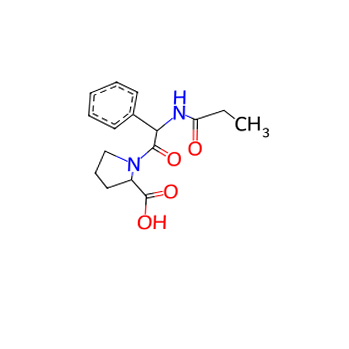 CCC(=O)NC(C(=O)N1CCCC1C(=O)O)c1ccccc1